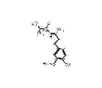 COc1cc(CC[C@@H](C)N[S@+]([O-])C(C)C)ccc1O